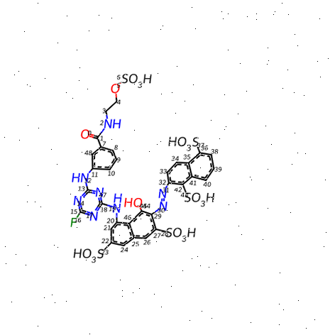 O=C(NCCOS(=O)(=O)O)c1cccc(Nc2nc(F)nc(Nc3cc(S(=O)(=O)O)cc4cc(S(=O)(=O)O)c(/N=N/c5ccc6c(S(=O)(=O)O)cccc6c5S(=O)(=O)O)c(O)c34)n2)c1